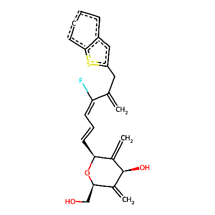 C=C(Cc1cc2ccccc2s1)/C(F)=C\C=C\[C@@H]1O[C@H](CO)C(=C)[C@H](O)C1=C